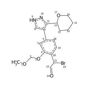 COCOc1cc(-c2c[nH]nc2C2CCCCO2)ccc1C(Br)C=O